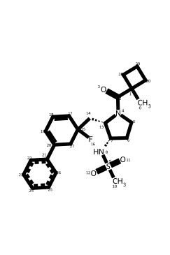 CC1(C(=O)N2CC[C@H](NS(C)(=O)=O)[C@@H]2CC2(F)C=CC=C(c3ccccc3)C2)CCC1